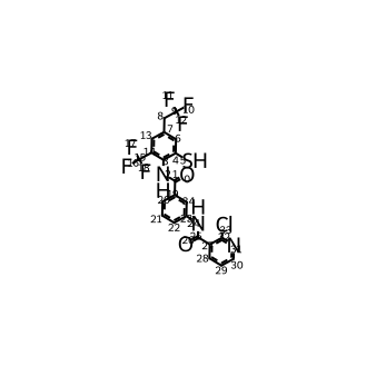 O=C(Nc1c(S)cc(CC(F)(F)F)cc1C(F)(F)F)c1cccc(NC(=O)c2cccnc2Cl)c1